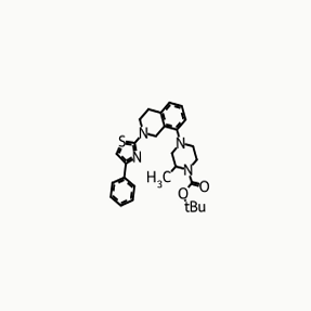 CC1CN(c2cccc3c2CN(c2nc(-c4ccccc4)cs2)CC3)CCN1C(=O)OC(C)(C)C